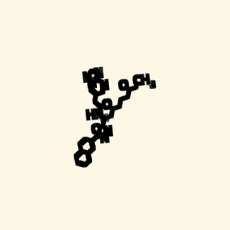 CCC(=O)CCCCC[C@H](NC(=O)Cc1cnc2ncnn2c1)c1nnc(-c2ccc3ccccc3c2)o1